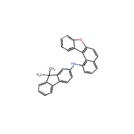 CC1(C)c2ccccc2-c2ccc(Nc3cccc4ccc5oc6ccccc6c5c34)cc21